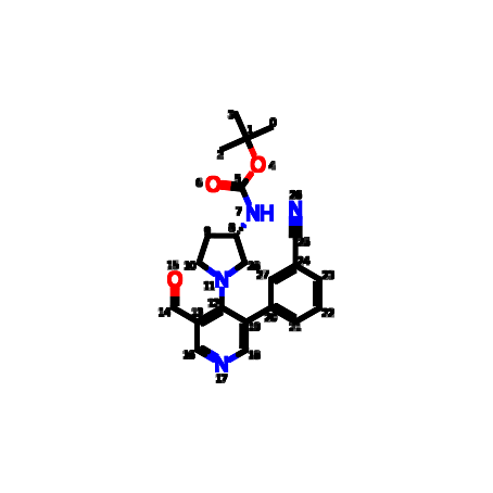 CC(C)(C)OC(=O)N[C@H]1CCN(c2c(C=O)cncc2-c2cccc(C#N)c2)C1